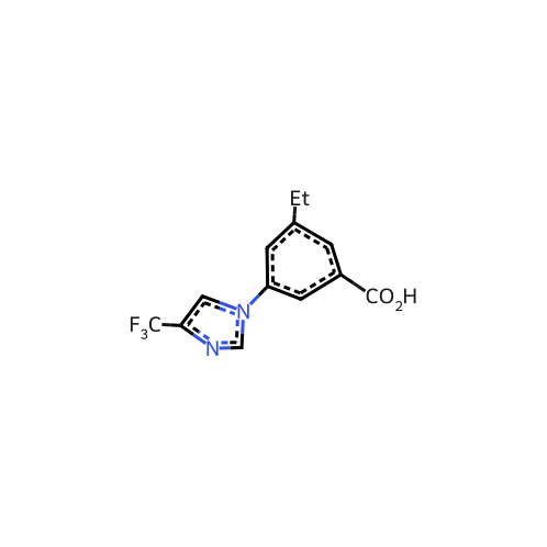 CCc1cc(C(=O)O)cc(-n2cnc(C(F)(F)F)c2)c1